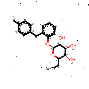 CC(=O)OC[C@H]1O[C@@H](Oc2ccccc2Cc2ccc(C)cc2)[C@H](O)[C@@H](O)[C@@H]1O